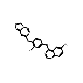 Nc1ccc2ncnc(Nc3ccc(Oc4cc5nncn5cn4)c(Cl)c3)c2c1